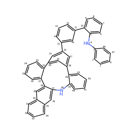 c1ccc(Nc2ccccc2-c2cccc(-c3cc4cc(c3)-c3ccccc3-c3cc5ccccc5cc3Nc3ccccc3-4)c2)cc1